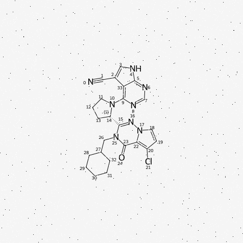 N#Cc1c[nH]c2ncnc(N3CCC[C@H]3c3nn4ccc(Cl)c4c(=O)n3CC3CCCCC3)c12